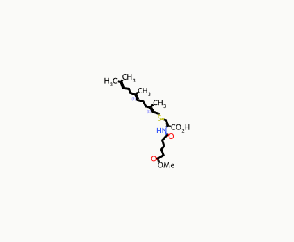 COC(=O)CCCCC(=O)N[C@@H](CSC/C=C(\C)CC/C=C(\C)CCC=C(C)C)C(=O)O